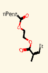 CCC=C(C)C(=O)OCCOC(=O)CCCCC